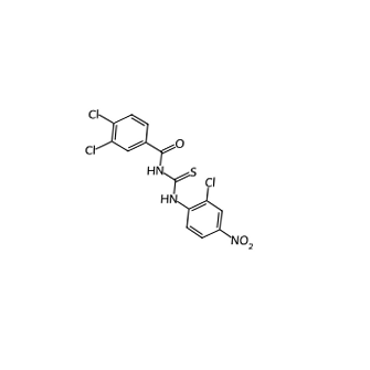 O=C(NC(=S)Nc1ccc([N+](=O)[O-])cc1Cl)c1ccc(Cl)c(Cl)c1